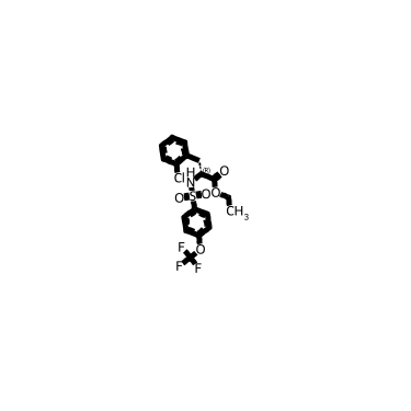 CCOC(=O)[C@@H](Cc1ccccc1Cl)NS(=O)(=O)c1ccc(OC(F)(F)F)cc1